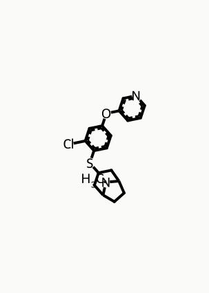 CN1C2CCC1CC(Sc1ccc(Oc3cccnc3)cc1Cl)C2